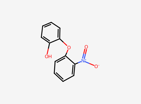 O=[N+]([O-])c1ccccc1Oc1ccccc1O